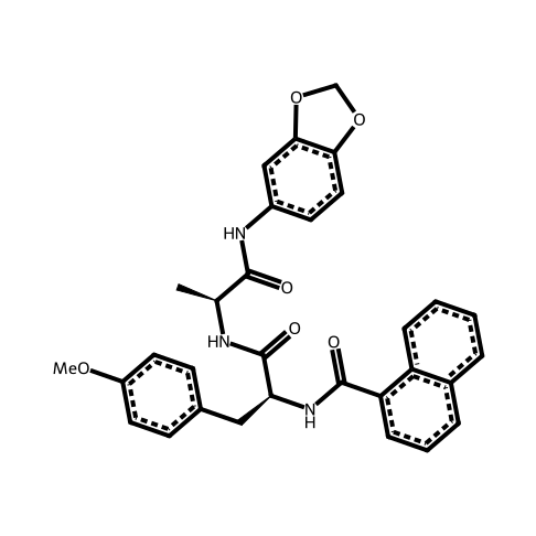 COc1ccc(C[C@H](NC(=O)c2cccc3ccccc23)C(=O)N[C@@H](C)C(=O)Nc2ccc3c(c2)OCO3)cc1